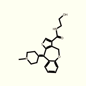 CN1CCC(=C2c3ccccc3OCc3c(C(=O)NCCO)[c]sc32)CC1